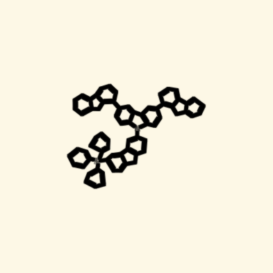 c1ccc([Si](c2ccccc2)(c2ccccc2)c2ccc3c(c2)-c2cc(-n4c5ccc(-c6cccc7c6Cc6ccccc6-7)cc5c5cc(-c6cccc7c6Cc6ccccc6-7)ccc54)ccc2C3)cc1